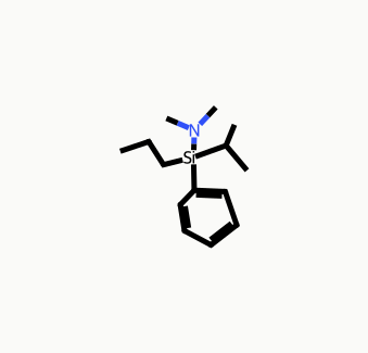 CCC[Si](c1ccccc1)(C(C)C)N(C)C